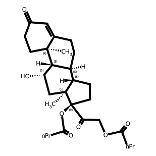 CCCC(=O)OCC(=O)[C@@]1(OC(=O)CCC)CC[C@H]2[C@@H]3CCC4=CC(=O)CC[C@]4(C)[C@H]3[C@@H](O)C[C@@]21C